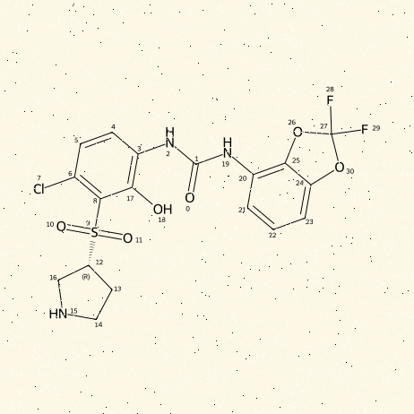 O=C(Nc1ccc(Cl)c(S(=O)(=O)[C@@H]2CCNC2)c1O)Nc1cccc2c1OC(F)(F)O2